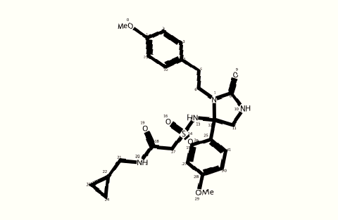 COc1ccc(CCN2C(=O)NCC2(NS(=O)(=O)CC(=O)NCC2CC2)c2ccc(OC)cc2)cc1